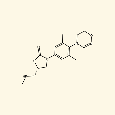 CPC[C@H]1CN(c2cc(C)c(N3C=NOCC3)c(C)c2)C(=O)O1